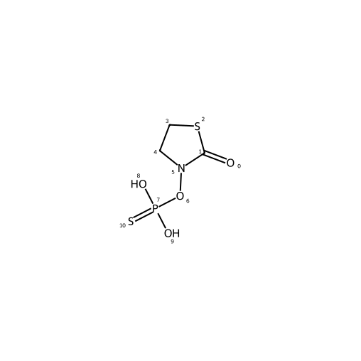 O=C1SCCN1OP(O)(O)=S